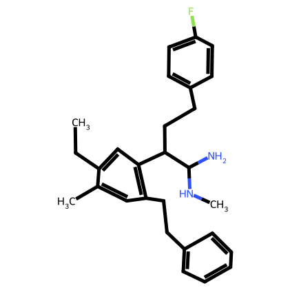 CCc1cc(C(CCc2ccc(F)cc2)C(N)NC)c(CCc2ccccc2)cc1C